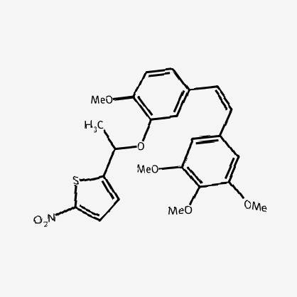 COc1ccc(/C=C\c2cc(OC)c(OC)c(OC)c2)cc1OC(C)c1ccc([N+](=O)[O-])s1